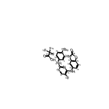 CC(C)(C)c1ccc(Nc2ncc(F)c(Nc3ccc4oc(=O)[nH]c4c3)n2)cc1.O=C(O)C(F)(F)F